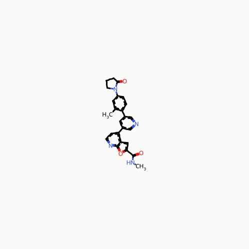 CNC(=O)c1cc2c(-c3cncc(-c4ccc(N5CCCC5=O)cc4C)c3)ccnc2o1